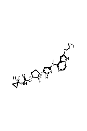 CC1(NC(=O)O[C@@H]2CC[C@H](c3cc(Nc4nccn5nc(OCC(F)(F)F)cc45)n[nH]3)[C@H]2F)CC1